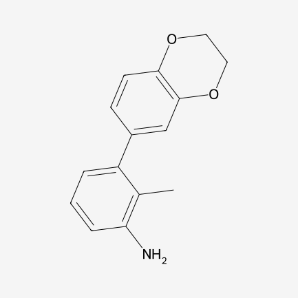 Cc1c(N)cccc1-c1ccc2c(c1)OCCO2